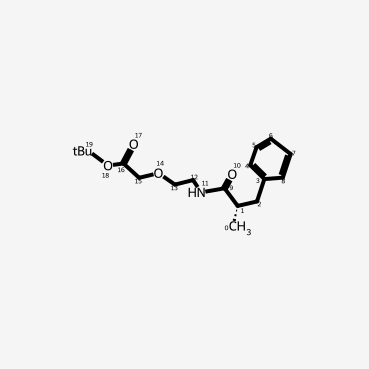 C[C@@H](Cc1ccccc1)C(=O)NCCOCC(=O)OC(C)(C)C